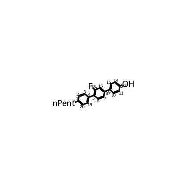 CCCCCc1ccc(-c2ccc(-c3ccc(O)cc3)cc2F)cc1